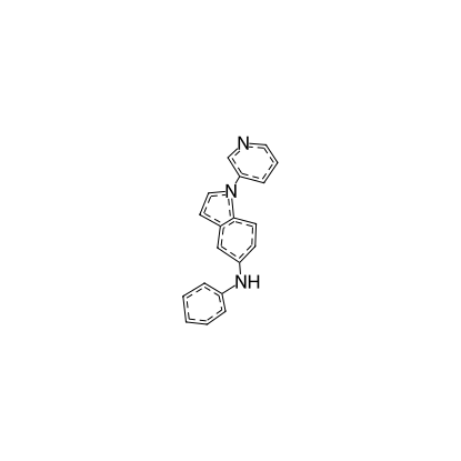 c1ccc(Nc2ccc3c(ccn3-c3cccnc3)c2)cc1